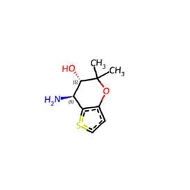 CC1(C)Oc2ccsc2[C@@H](N)[C@@H]1O